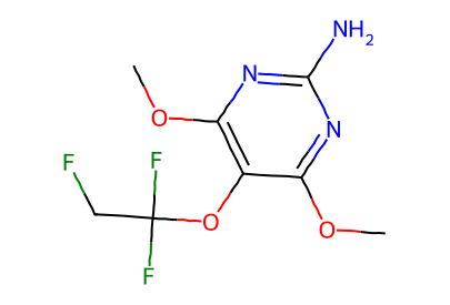 COc1nc(N)nc(OC)c1OC(F)(F)CF